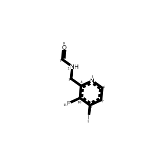 O=CNCc1nccc(I)c1F